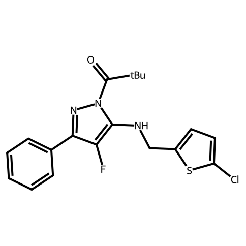 CC(C)(C)C(=O)n1nc(-c2ccccc2)c(F)c1NCc1ccc(Cl)s1